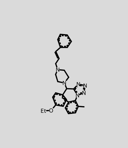 CCOc1ccc(C(c2nnnn2-c2c(C)cccc2C)N2CCN(C/C=C/c3ccccc3)CC2)cc1